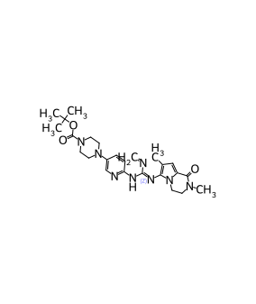 C=N/C(=N\c1c(C)cc2n1CCN(C)C2=O)Nc1ccc(N2CCN(C(=O)OC(C)(C)C)CC2)cn1